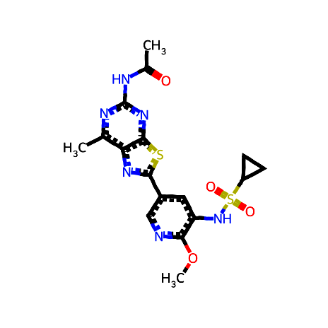 COc1ncc(-c2nc3c(C)nc(NC(C)=O)nc3s2)cc1NS(=O)(=O)C1CC1